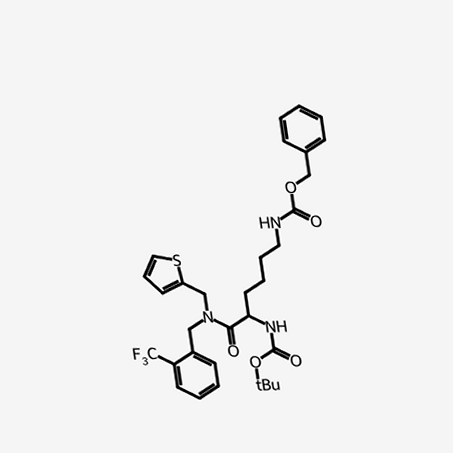 CC(C)(C)OC(=O)NC(CCCCNC(=O)OCc1ccccc1)C(=O)N(Cc1cccs1)Cc1ccccc1C(F)(F)F